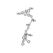 CCN(CCCCNCCOCCOCCN(Cc1ccc(OCc2ccccc2)c(OCc2ccccc2)c1)C(=O)OC(C)(C)C)CCOc1ccc(C(=O)c2c(-c3ccc(O)cc3)sc3cc(O)ccc23)cc1